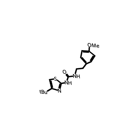 COc1ccc(CCNC(=O)Nc2nc(C(C)(C)C)cs2)cc1